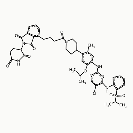 Cc1cc(Nc2ncc(Cl)c(Nc3ccccc3S(=O)(=O)C(C)C)n2)c(OC(C)C)cc1C1CCN(C(=O)CCCc2cccc3c2C(=O)N(C2CCC(=O)NC2=O)C3=O)CC1